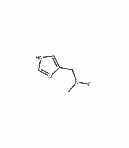 CCN(C)Cc1c[nH]cn1